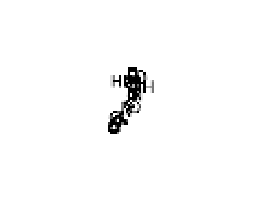 C=C(C(=O)N(C)Cc1oc2ccccc2c1C)c1cnc2c(c1)CNC1(CCCC1)C(=O)N2